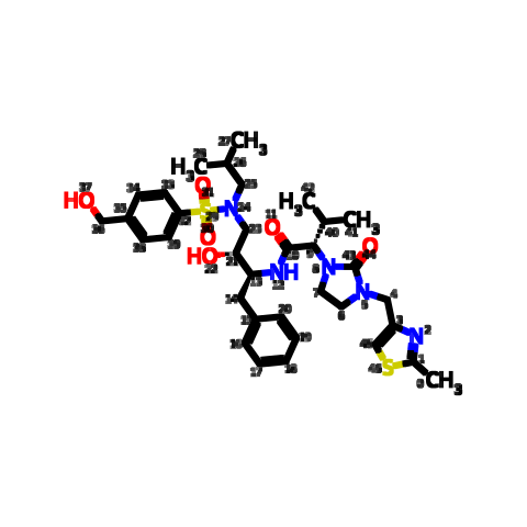 Cc1nc(CN2CCN([C@H](C(=O)N[C@@H](Cc3ccccc3)[C@H](O)CN(CC(C)C)S(=O)(=O)c3ccc(CO)cc3)C(C)C)C2=O)cs1